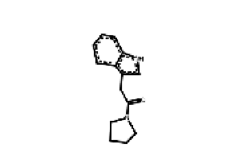 O=C(Cc1c[nH]c2ccccc12)N1CCCC1